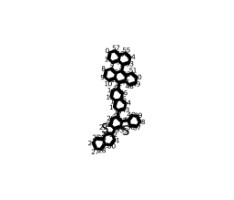 c1ccc2c(-c3c4ccccc4c(-c4ccc5cc(-c6cc7sc8c9ccccc9ccc8c7c7sc8ccccc8c67)ccc5c4)c4ccccc34)cccc2c1